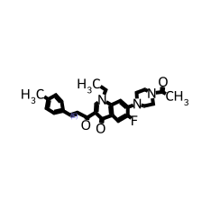 CCn1cc(C(=O)/C=C/c2ccc(C)cc2)c(=O)c2cc(F)c(N3CCN(C(C)=O)CC3)cc21